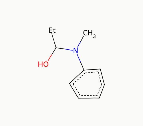 CCC(O)N(C)c1ccccc1